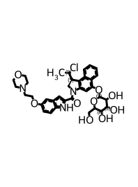 C[C@@H](Cl)[C@@H]1CN(C(=O)c2cc3cc(OCCN4CCOCC4)ccc3[nH]2)c2cc(O[C@@H]3OC(CO)[C@H](O)[C@H](O)C3O)c3ccccc3c21